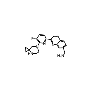 NCc1cc2nc(-c3ccc(F)c(N4CCNC5(CC5)C4)n3)ccc2cn1